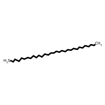 CCCCCCCCCCCCCCCCCCCCCCCCCCCCCC[SiH2]